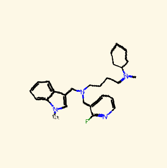 CCn1cc(CN(CCCCN(C)C2CCCCC2)Cc2cccnc2F)c2ccccc21